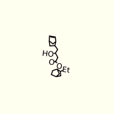 CCC1CC2CCC1(OC(=O)CC(O)CC1CC3C=CC1C3)C2